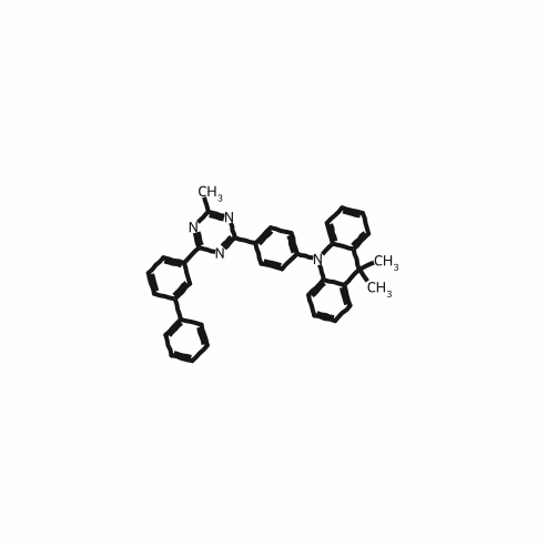 Cc1nc(-c2ccc(N3c4ccccc4C(C)(C)c4ccccc43)cc2)nc(-c2cccc(-c3ccccc3)c2)n1